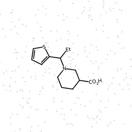 CCC(c1cccs1)N1CCCC(C(=O)O)C1